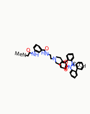 CNCC(=O)Nc1cccc(C(=O)NCCN2CCC(OC(=O)N(c3ccccc3-c3ccccc3)N(C(=O)O)c3ccccc3-c3ccccc3)CC2)c1